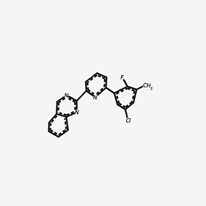 Cc1cc(Cl)cc(-c2cccc(-c3ncc4ccccc4n3)n2)c1F